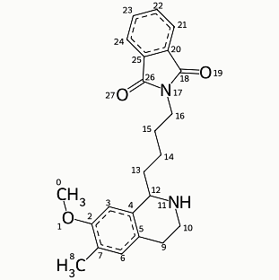 COc1cc2c(cc1C)CCNC2CCCCN1C(=O)c2ccccc2C1=O